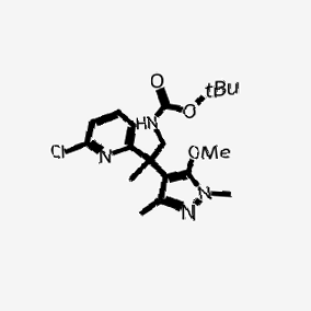 COc1c(C(C)(CNC(=O)OC(C)(C)C)c2cccc(Cl)n2)c(C)nn1C